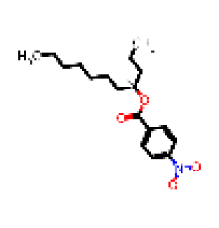 CCCCCCC[C@@H](CCC)OC(=O)c1ccc([N+](=O)[O-])cc1